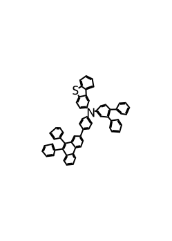 c1ccc(-c2ccc(N(c3ccc(-c4ccc5c(c4)c(-c4ccccc4)c(-c4ccccc4)c4ccccc45)cc3)c3ccc4sc5ccccc5c4c3)cc2-c2ccccc2)cc1